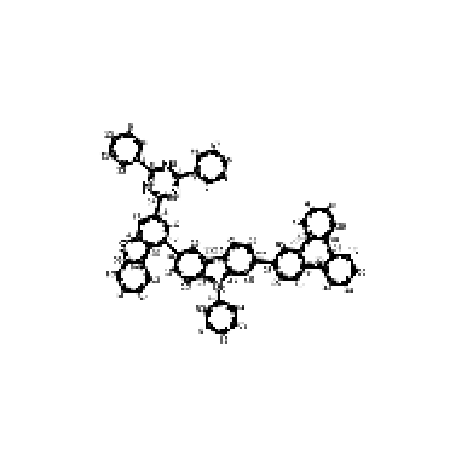 c1ccc(-c2nc(-c3ccccc3)nc(-c3cc(-c4ccc5c(c4)c4ccc(-c6ccc7c8ccccc8c8ccccc8c7c6)cc4n5-c4ccccc4)c4c(c3)sc3ccccc34)n2)cc1